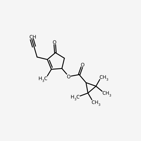 C#CCC1=C(C)C(OC(=O)C2C(C)(C)C2(C)C)CC1=O